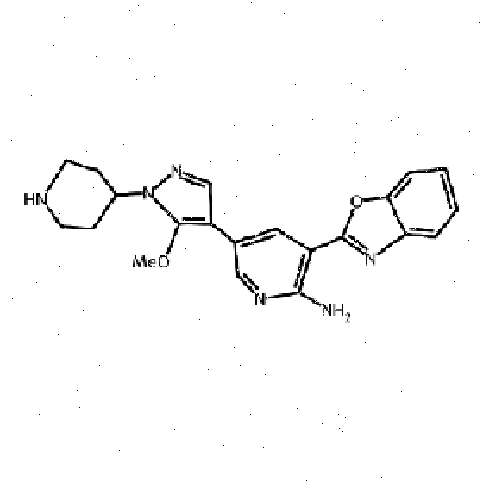 COc1c(-c2cnc(N)c(-c3nc4ccccc4o3)c2)cnn1C1CCNCC1